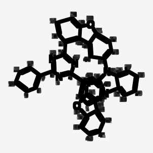 c1ccc(-c2nc(-c3ccccc3)nc(-c3cccc4oc5ccc(-n6c7ccccc7n7c8c(nc67)oc6ccccc68)cc5c34)n2)cc1